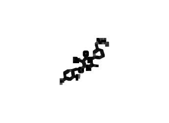 Cc1nc(OCc2ccc(F)cc2F)c(Br)c(=O)n1-c1cccc(CN)c1